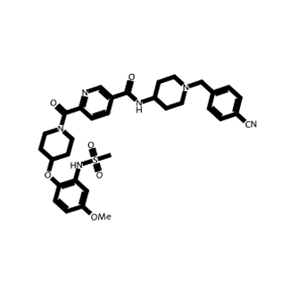 COc1ccc(OC2CCN(C(=O)c3ccc(C(=O)NC4CCN(Cc5ccc(C#N)cc5)CC4)cn3)CC2)c(NS(C)(=O)=O)c1